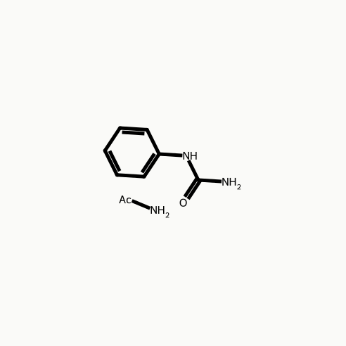 CC(N)=O.NC(=O)Nc1ccccc1